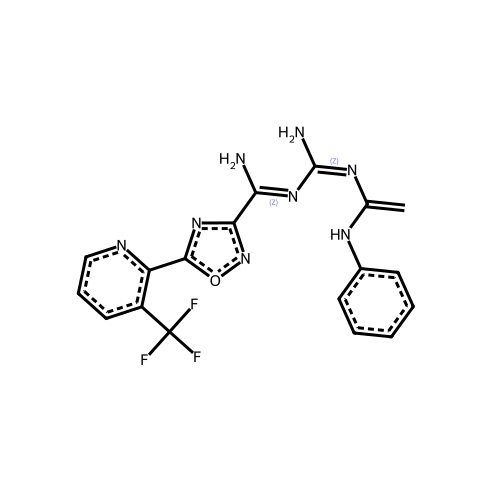 C=C(/N=C(N)\N=C(/N)c1noc(-c2ncccc2C(F)(F)F)n1)Nc1ccccc1